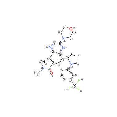 CN(C)C(=O)c1cc(C2CCCN2c2cccc(C(F)(F)F)c2)c2nc(N3CCOCC3)cnc2c1